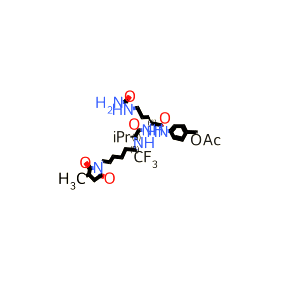 CC(=O)OCc1ccc(NC(=O)[C@H](CCCNC(N)=O)NC(=O)[C@@H](N[C@H](CCCCCN2C(=O)CC(C)C2=O)C(F)(F)F)C(C)C)cc1